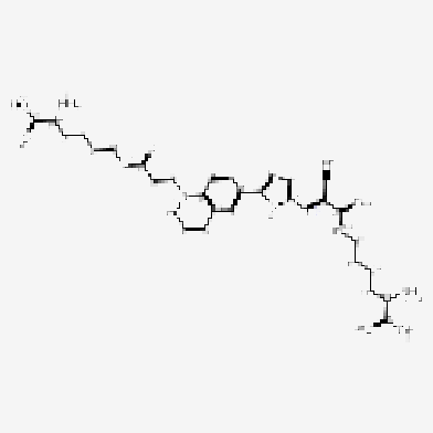 N#C/C(=C\c1ccc(-c2ccc3c(c2)CCCN3CCC(=O)NCCCC[C@@H](N)C(=O)O)s1)C(=O)NCCCCC(N)C(=O)O